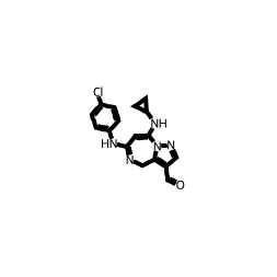 O=Cc1cnn2c1CN=C(Nc1ccc(Cl)cc1)C=C2NC1CC1